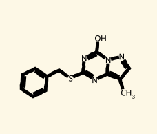 Cc1cnn2c(O)nc(SCc3ccccc3)nc12